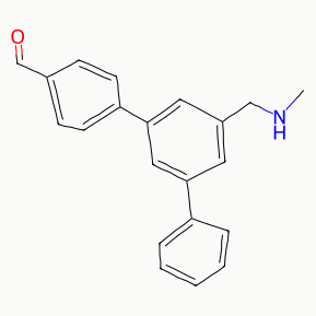 CNCc1cc(-c2ccccc2)cc(-c2ccc(C=O)cc2)c1